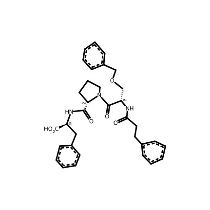 O=C(CCc1ccccc1)N[C@@H](COCc1ccccc1)C(=O)N1CCC[C@H]1C(=O)N[C@@H](Cc1ccccc1)C(=O)O